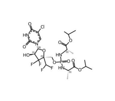 CC(C)OC(=O)[C@H](C)NP(=O)(N[C@@H](C)C(=O)OC(C)C)OC[C@@]1(C(F)F)O[C@@H](n2cc(Cl)c(=O)[nH]c2=O)[C@H](O)C1(F)F